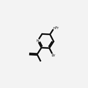 C=C(C)C1=NCC(CCC)C=C1Br